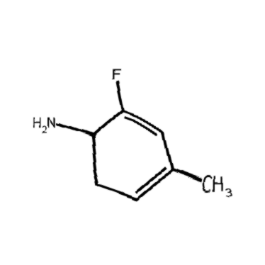 CC1=CCC(N)C(F)=C1